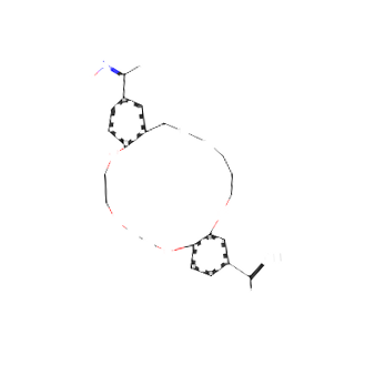 C=C(C)c1ccc2c(c1)OCCCCCCc1cc(/C(C)=N\O)ccc1OCCOCCO2